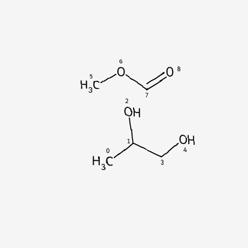 CC(O)CO.COC=O